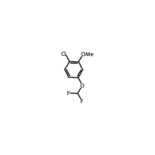 COc1cc(OC(F)F)[c]cc1Cl